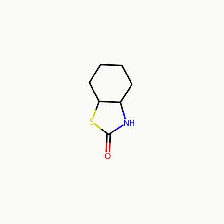 O=C1NC2CCCCC2S1